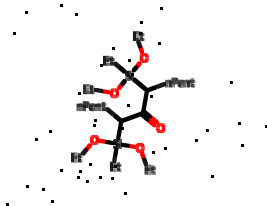 CCCCCC(C(=O)C(CCCCC)[Si](CC)(OCC)OCC)[Si](CC)(OCC)OCC